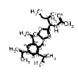 CCC(C)C(NC(C)=O)C1=N[C@@H](Cc2c(C(C)C)cc(C(C)C)cc2C(C)C)CO1